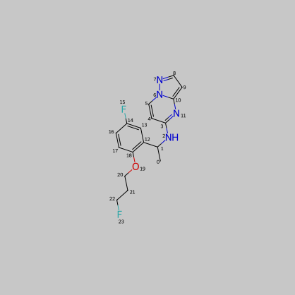 CC(Nc1ccn2nccc2n1)c1cc(F)ccc1OCCCF